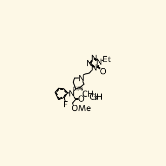 CCn1nnn(CCN2CC[C@H](N(C(=O)COC)c3ccccc3F)[C@H](C)C2)c1=O.Cl